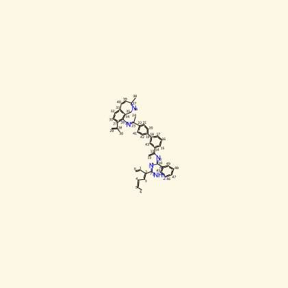 C=CC(=C\C=C/C)/C(N)=N/C(=N\C(=C)c1cccc(-c2ccc(/C(C)=N/c3c(C(=C)C)ccc4c3CN=C(C)C=C4)cc2)c1)c1ccccc1